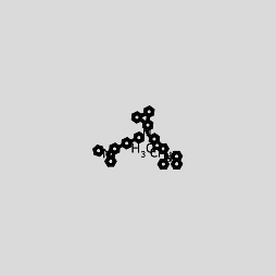 CC1(C)c2cc(N(c3ccc(-c4ccc(-c5ccc6c(c5)c5ccccc5n6-c5ccccc5)cc4)cc3)c3ccc4c5ccccc5c5ccccc5c4c3)ccc2-c2ccc(N(c3ccccc3)c3cccc4ccccc34)cc21